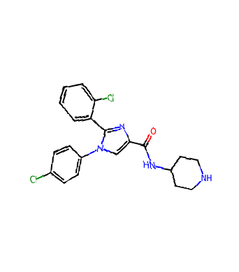 O=C(NC1CCNCC1)c1cn(-c2ccc(Cl)cc2)c(-c2ccccc2Cl)n1